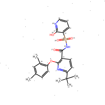 Cc1ccc(Oc2nc(C(C)(C)C)ccc2C(=O)NS(=O)(=O)c2cccnc2O)c(C)c1